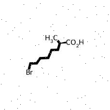 C[C@H](CCCCCCBr)C(=O)O